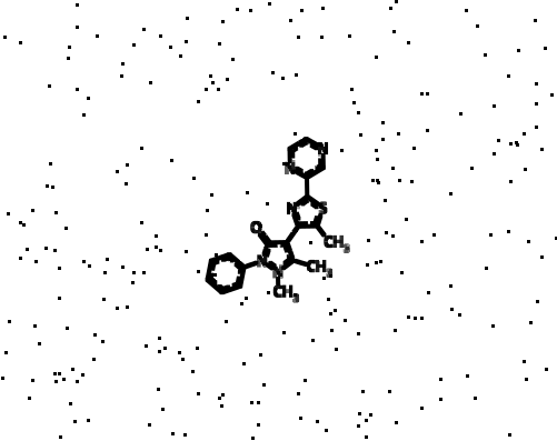 Cc1sc(-c2cnccn2)nc1-c1c(C)n(C)n(-c2ccccc2)c1=O